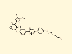 CCCCCCCOc1ccc(-c2cnc(-c3ccc(CC(C=O)NC(=O)c4cc(C)c(CC)s4)cc3)nc2)cc1